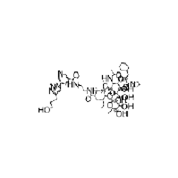 CCC1CC(C(=O)NCCNC(=O)c2cncc(-n3cc(CCCO)nn3)c2)C[C@@H](O[C@@H]2OC(CO)[C@H](O)C(O[C@@H](CC3CCCCC3)C(=O)N3CCC3)C2NC(C)=O)C1O[C@@H]1OC(C)[C@@H](O)C(O)C1O